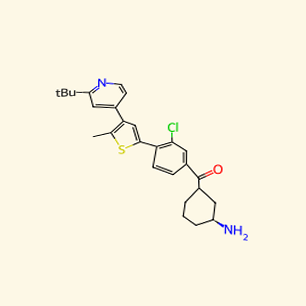 Cc1sc(-c2ccc(C(=O)C3CCC[C@H](N)C3)cc2Cl)cc1-c1ccnc(C(C)(C)C)c1